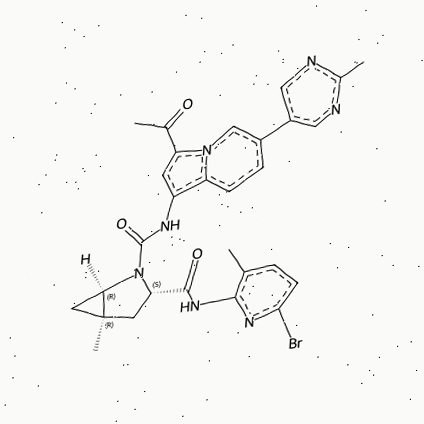 CC(=O)c1cc(NC(=O)N2[C@H](C(=O)Nc3nc(Br)ccc3C)C[C@@]3(C)C[C@@H]23)c2ccc(-c3cnc(C)nc3)cn12